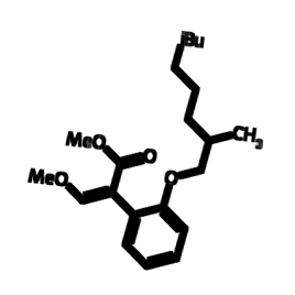 CCC(C)CCCC(C)COc1ccccc1C(=COC)C(=O)OC